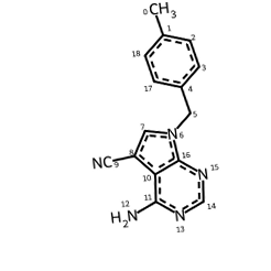 Cc1ccc(Cn2cc(C#N)c3c(N)ncnc32)cc1